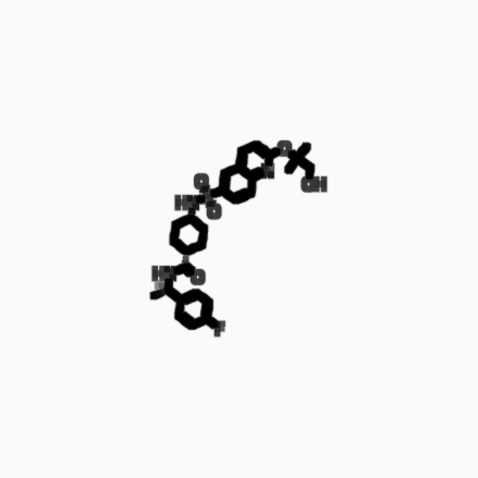 C[C@@H](NC(=O)[C@H]1CC[C@H](NS(=O)(=O)c2ccc3nc(OC(C)(C)CO)ccc3c2)CC1)c1ccc(F)cc1